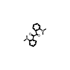 CN(C)c1ccccc1C(=O)C(=O)c1ccccc1N(C)C